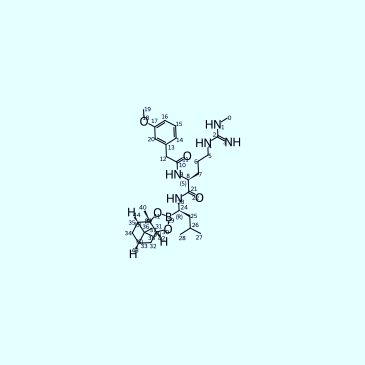 CNC(=N)NCCC[C@H](NC(=O)Cc1cccc(OC)c1)C(=O)N[C@@H](CC(C)C)B1O[C@@H]2C[C@@H]3C[C@@H](C3(C)C)[C@]2(C)O1